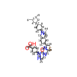 CCCC(CCC)c1ccc(N(Cc2ccc(-c3csc(CN(CC(C)C)C(=O)Nc4ccc(C(=O)O)cc4)n3)cc2)C(C)C)cc1